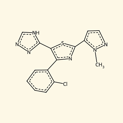 Cn1nccc1-c1nc(-c2ccccc2Cl)c(-c2nnc[nH]2)s1